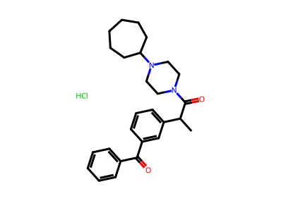 CC(C(=O)N1CCN(C2CCCCCC2)CC1)c1cccc(C(=O)c2ccccc2)c1.Cl